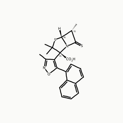 Cc1noc(-c2cccc3ccccc23)c1[C@@]1(C(=O)O)N2C(=S)[C@@H](C)[C@H]2SC1(C)C